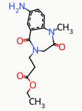 CCOC(=O)CCN1CC(=O)N(C)c2ccc(N)cc2C1=O